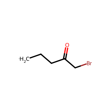 [CH2]CCC(=O)CBr